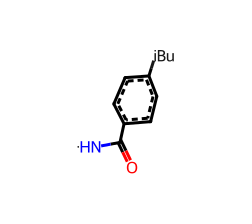 CCC(C)c1ccc(C([NH])=O)cc1